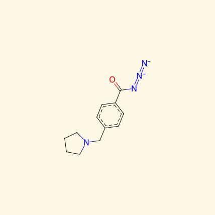 [N-]=[N+]=NC(=O)c1ccc(CN2CCCC2)cc1